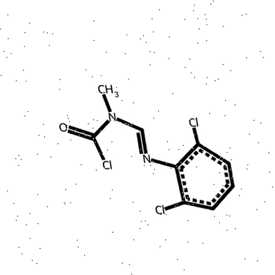 CN(C=Nc1c(Cl)cccc1Cl)C(=O)Cl